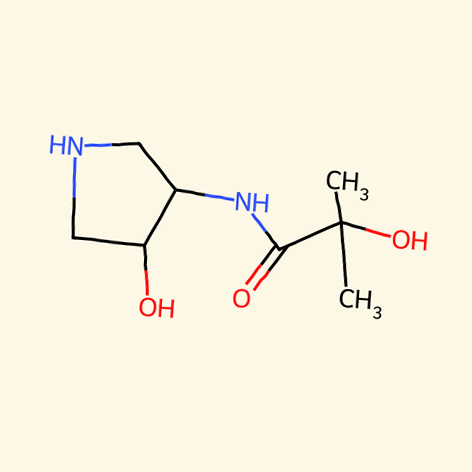 CC(C)(O)C(=O)NC1CNCC1O